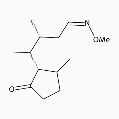 CO/N=C\C[C@@H](C)C(C)[C@H]1C(=O)CCC1C